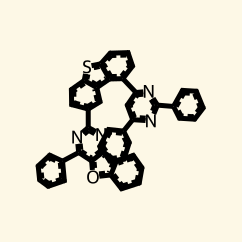 c1ccc(-c2cc(-c3cccc4sc5ccc(-c6nc(-c7ccccc7)c7oc8ccccc8c7n6)cc5c34)nc(-c3ccccc3)n2)cc1